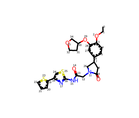 CCOc1ccc(C2CC(=O)N(CC(=O)Nc3nc(-c4cccs4)cs3)C2)cc1OC1CCOC1